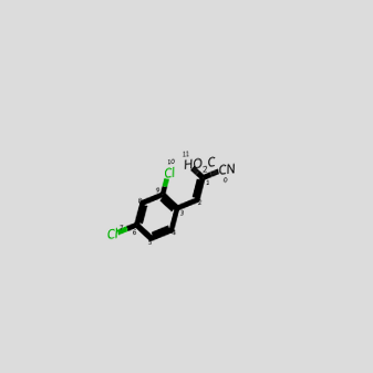 N#C/C(=C/c1ccc(Cl)cc1Cl)C(=O)O